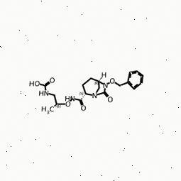 C[C@@H](CNC(=O)O)ONC(=O)[C@@H]1CC[C@@H]2CN1C(=O)N2OCc1ccccc1